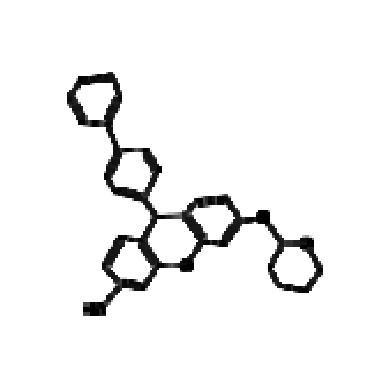 Oc1ccc2c(c1)Oc1cc(OC3CCCCO3)ccc1C2c1ccc(-c2ccccc2)cc1